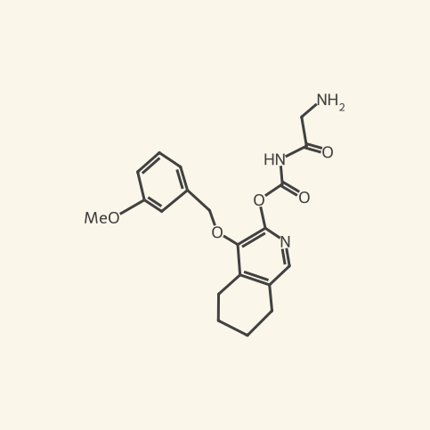 COc1cccc(COc2c(OC(=O)NC(=O)CN)ncc3c2CCCC3)c1